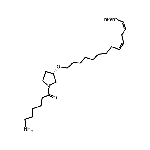 CCCCC/C=C\C/C=C\CCCCCCCCO[C@H]1CCN(C(=O)CCCCCN)C1